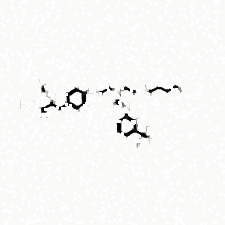 CCCCCOCCN(CCOc1ccc(CC(OCC)C(=O)O)cc1)C(=O)Nc1cccc(C(F)(F)F)c1